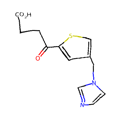 O=C(O)CCC(=O)c1cc(Cn2ccnc2)cs1